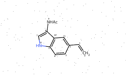 C=Cc1ccc2[nH]cc(NC(C)=O)c2c1